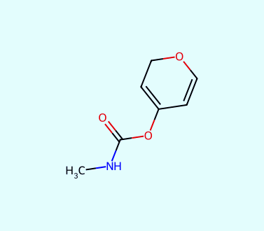 CNC(=O)OC1=CCOC=C1